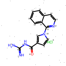 Cl.N=C(N)NC(=O)c1ccn(-c2nccc3ccccc23)c1